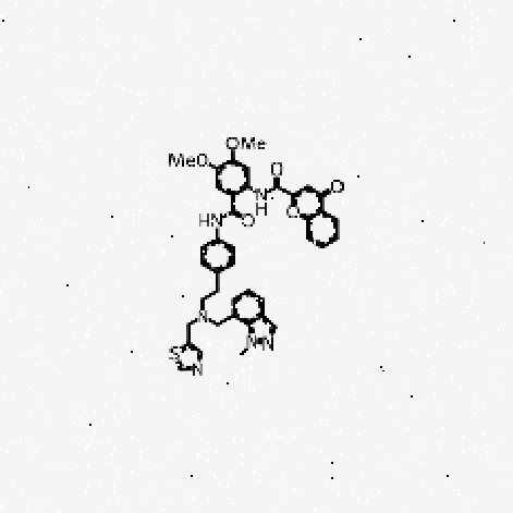 COc1cc(NC(=O)c2cc(=O)c3ccccc3o2)c(C(=O)Nc2ccc(CCN(Cc3cncs3)Cc3cccc4cnn(C)c34)cc2)cc1OC